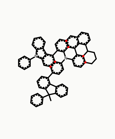 CC1(c2ccccc2)c2ccccc2-c2c(-c3ccc(N(c4ccccc4-c4cccc5cccc(C6CCCCC6)c45)c4ccccc4-c4cccc5c4c4ccccc4n5-c4ccccc4)cc3)cccc21